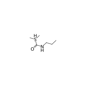 CCCNC(=O)[SH](C)C